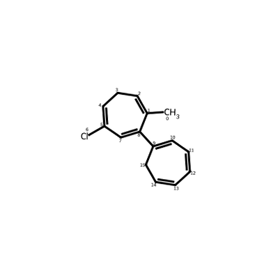 CC1=CCC=C(Cl)C=C1C1=CC=CC=CC1